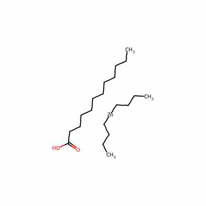 CCCCCCCCCCCC(=O)O.CCC[CH2][Zn][CH2]CCC